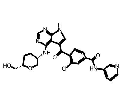 O=C(Nc1cccnc1)c1ccc(C(=O)c2c[nH]c3ncnc(N[C@H]4CC[C@@H](CO)OC4)c23)c(Cl)c1